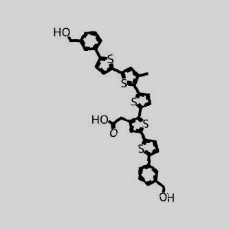 Cc1cc(-c2ccc(-c3cccc(CO)c3)s2)sc1-c1ccc(-c2sc(-c3ccc(-c4cccc(CO)c4)s3)cc2CC(=O)O)s1